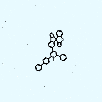 C1=C(c2ccc3c(c2)C2(c4ccccc4Oc4ccccc42)c2ncccc2-3)N=C(c2ccccc2)NC1c1ccc(-c2ccccc2)cc1